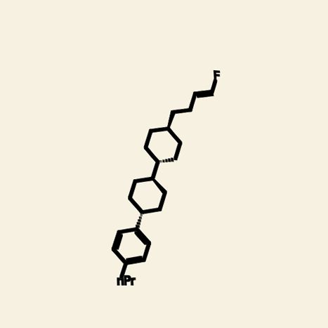 CCCc1ccc([C@H]2CC[C@H]([C@H]3CC[C@H](CC/C=C/F)CC3)CC2)cc1